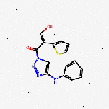 O=C(C(=CO)c1cccs1)n1cc(Nc2ccccc2)nn1